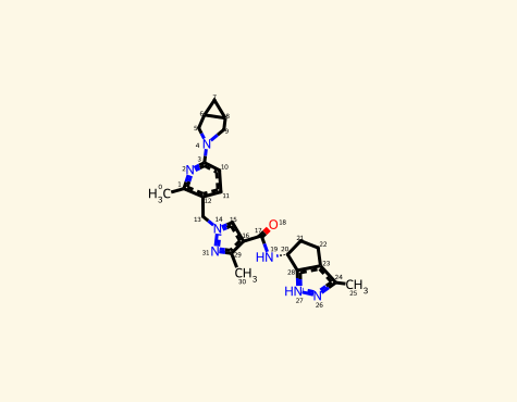 Cc1nc(N2CC3CC3C2)ccc1Cn1cc(C(=O)N[C@@H]2CCc3c(C)n[nH]c32)c(C)n1